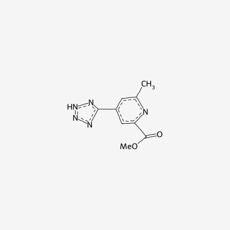 COC(=O)c1cc(-c2nn[nH]n2)cc(C)n1